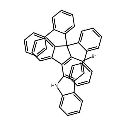 Brc1cc2c([nH]c3ccccc32)c2c1C(c1ccccc1-c1ccccc1)(c1ccccc1-c1ccccc1)c1ccccc1-2